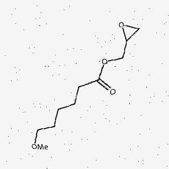 COCCCCCC(=O)OCC1CO1